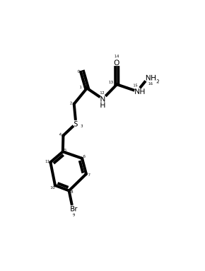 C=C(CSCc1ccc(Br)cc1)NC(=O)NN